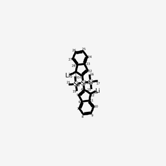 [Li][CH]1C([Si](C2=Cc3ccccc3[CH]2[Li])([Si](C)(C)C)[Si](C)(C)C)=Cc2ccccc21